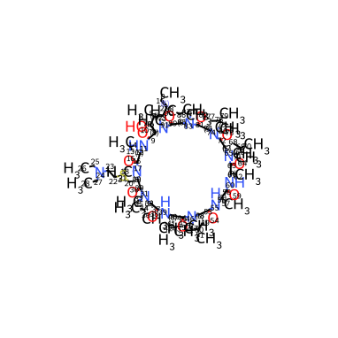 C/C=C/C[C@@H](C)[C@@H](O)[C@H]1C(=O)N[C@@H](CC)C(=O)N(C)[C@H](CSCCN(CC)CC)C(=O)N(C)[C@@H](C(C)C)C(=O)N[C@@H](C(C)C)C(=O)N(C)[C@@H](CC(C)C)C(=O)N[C@@H](C)C(=O)N[C@H](C)C(=O)N(C)[C@@H](CC(C)C)C(=O)N(C)[C@@H](CC(C)C)C(=O)N(C)[C@@H](C(C)C)C(=O)N1C